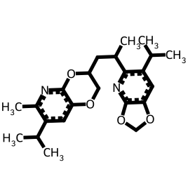 Cc1nc2c(cc1C(C)C)OCC(CC(C)c1nc3c(cc1C(C)C)OCO3)O2